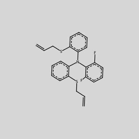 C=CCSc1ccccc1N(c1ccccc1SCC=C)c1c(F)cccc1F